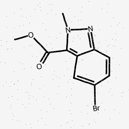 COC(=O)c1c2cc(Br)ccc2nn1C